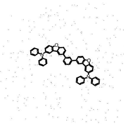 C1=C(c2cccc(-c3ccc4oc5ccc(N(c6ccccc6)c6ccccc6)cc5c4c3)c2)C=C2c3cc(N(c4ccccc4)c4ccccc4)ccc3OC2C1